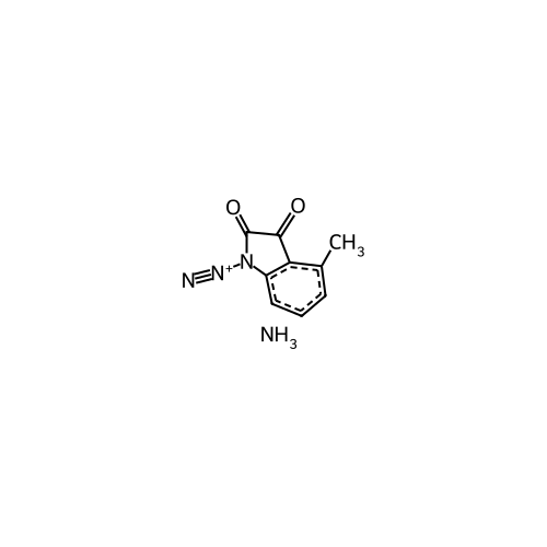 Cc1cccc2c1C(=O)C(=O)N2[N+]#N.N